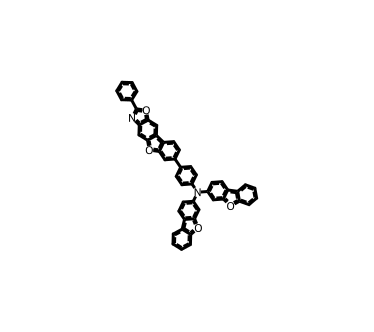 c1ccc(-c2nc3cc4oc5cc(-c6ccc(N(c7ccc8c(c7)oc7ccccc78)c7ccc8c(c7)oc7ccccc78)cc6)ccc5c4cc3o2)cc1